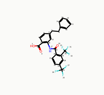 O=C(O)c1ccc(CCc2ccccc2)cc1NC(=O)c1ccc(C(F)(F)F)cc1C(F)(F)F